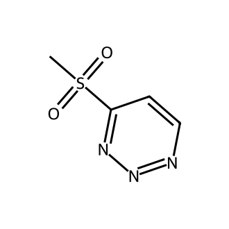 CS(=O)(=O)c1ccnnn1